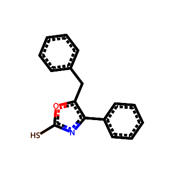 Sc1nc(-c2ccccc2)c(Cc2ccccc2)o1